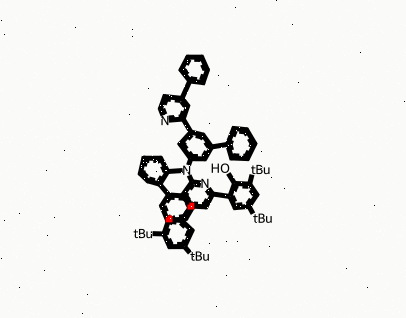 CC(C)(C)c1cc(-c2cc(-c3cc(C(C)(C)C)cc(C(C)(C)C)c3O)nc(N(c3cc(-c4ccccc4)cc(-c4cc(-c5ccccc5)ccn4)c3)c3ccccc3-c3ccccc3)c2)cc(C(C)(C)C)c1